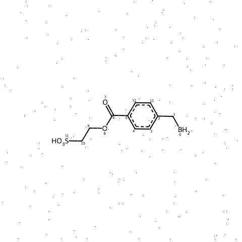 BCc1ccc(C(=O)OCCS(=O)(=O)O)cc1